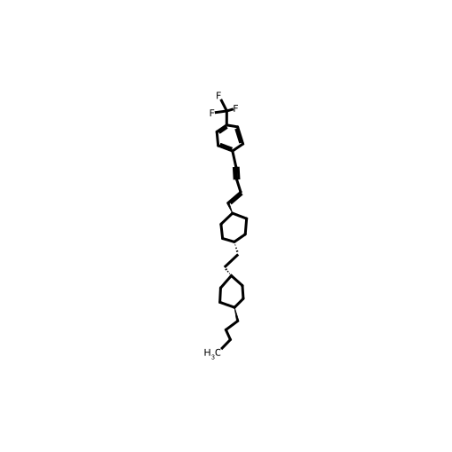 CCCC[C@H]1CC[C@H](CC[C@H]2CC[C@H](C=CC#Cc3ccc(C(F)(F)F)cc3)CC2)CC1